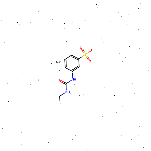 CCNC(=O)Nc1cccc(S(=O)(=O)[O-])c1.[Na+]